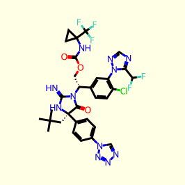 CC(C)(C)C[C@]1(c2ccc(-n3cnnn3)cc2)NC(=N)N([C@H](COC(=O)NC2(C(F)(F)F)CC2)c2ccc(Cl)c(-n3ncnc3C(F)F)c2)C1=O